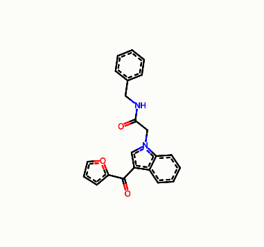 O=C(Cn1cc(C(=O)c2ccco2)c2ccccc21)NCc1ccccc1